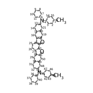 Cc1ccc(N(c2ccccc2)c2ccc3cc4c(cc3c2)oc2c4ccc3c4cc5ccc(N(c6ccccc6)c6ccc(C)cc6)cc5cc4oc32)cc1